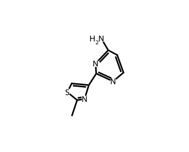 Cc1nc(-c2nccc(N)n2)cs1